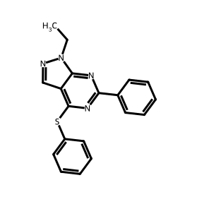 CCn1ncc2c(Sc3ccccc3)nc(-c3ccccc3)nc21